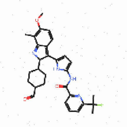 COc1ccc2c(c1C)=NC(C1CCC(C=O)CC1)C=2c1ccc(NC(=O)c2cccc(C(C)(C)F)n2)[nH]1